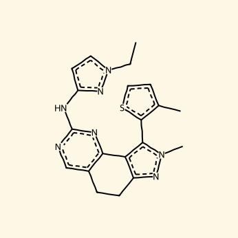 CCn1ccc(Nc2ncc3c(n2)-c2c(nn(C)c2-c2sccc2C)CC3)n1